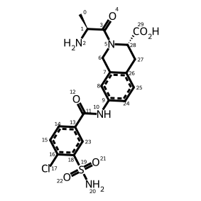 C[C@H](N)C(=O)N1Cc2cc(NC(=O)c3ccc(Cl)c(S(N)(=O)=O)c3)ccc2C[C@H]1C(=O)O